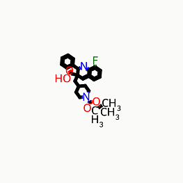 CC(C)(C)OC(=O)N1CCC(CC2(C(=O)O)C=c3cccc(F)c3=NC2c2ccccc2)CC1